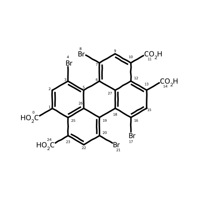 O=C(O)c1cc(Br)c2c3c(Br)cc(C(=O)O)c4c(C(=O)O)cc(Br)c(c5c(Br)cc(C(=O)O)c1c25)c43